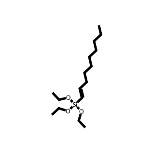 CCCCCCCCC=C[Si](OCC)(OCC)OCC